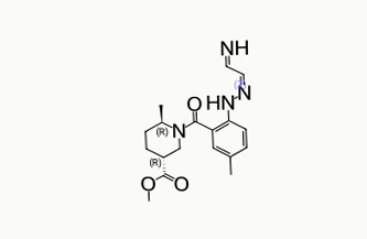 COC(=O)[C@@H]1CC[C@@H](C)N(C(=O)c2cc(C)ccc2N/N=C\C=N)C1